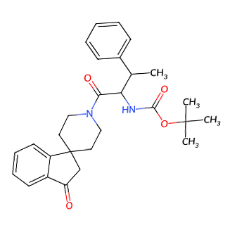 CC(c1ccccc1)C(NC(=O)OC(C)(C)C)C(=O)N1CCC2(CC1)CC(=O)c1ccccc12